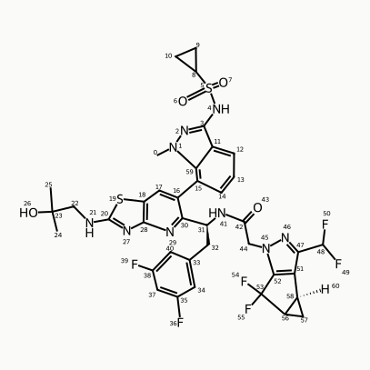 Cn1nc(NS(=O)(=O)C2CC2)c2cccc(-c3cc4sc(NCC(C)(C)O)nc4nc3[C@H](Cc3cc(F)cc(F)c3)NC(=O)Cn3nc(C(F)F)c4c3C(F)(F)C3C[C@H]43)c21